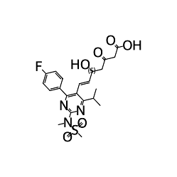 CC(C)c1nc(N(C)S(C)(=O)=O)nc(-c2ccc(F)cc2)c1C=C[C@@H](O)CC(=O)CC(=O)O